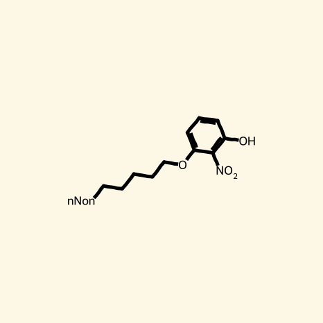 CCCCCCCCCCCCCCOc1cccc(O)c1[N+](=O)[O-]